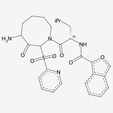 CC(C)C[C@H](NC(=O)c1occ2ccccc12)C(=O)N1CCCCC(N)C(=O)C1S(=O)(=O)c1ccccn1